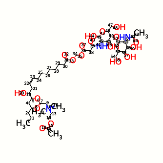 CCCCCC(OC(=O)C[N+](C)(C)CCOC(C)=O)C(O)C/C=C\CCCCCCCC(=O)OCOC(=O)CC(=O)NC1[C@@H](O)OC(CO)[C@H](O[C@H]2CC(CO)[C@H](O)[C@@H](O)C2NC(C)=O)[C@H]1O